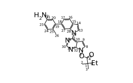 CCC(C)(C)C(=O)On1ccc2c(-n3ccc4ccc(-c5cc(N)ccc5C)cc43)ncnc21